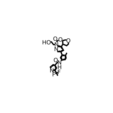 Cc1ccc(NC(=O)c2ccnc(C(C)(F)F)c2)cc1-c1cnc2c(c1)C1CCOCC1OC(=O)N2CCO